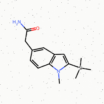 Cn1c([Si](C)(C)C)cc2cc(CC(N)=O)ccc21